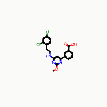 COc1nc(NCCc2ccc(Cl)cc2Cl)cc(-c2cccc(C(=O)O)c2)n1